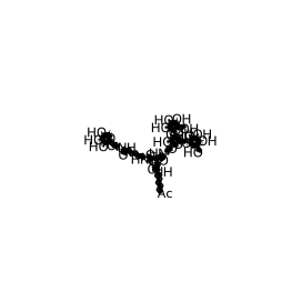 CC(=O)CCCCCNC(=O)CN(CC(=O)NCCCCCC(=O)NCCO[C@@H]1O[C@@H](C)[C@@H](O)[C@@H](O)[C@@H]1O)CC(=O)NCCO[C@H]1O[C@H](CO[C@H]2C[C@H](CO)[C@@H](O)[C@H](O)[C@@H]2O)[C@@H](O)[C@H](O[C@H]2O[C@H](CO)[C@@H](O)[C@H](O)[C@@H]2O)[C@@H]1O